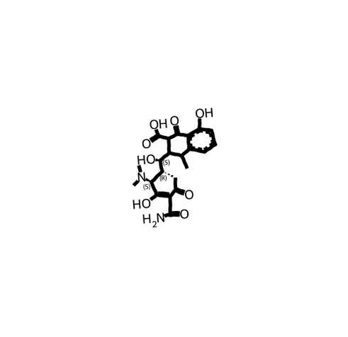 CC1c2cccc(O)c2C(=O)C(C(=O)O)C1[C@H](O)[C@@H]1CC(=O)C(C(N)=O)=C(O)[C@H]1N(C)C